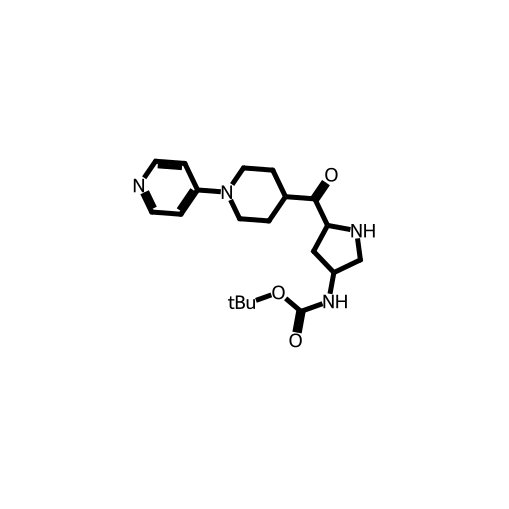 CC(C)(C)OC(=O)NC1CNC(C(=O)C2CCN(c3ccncc3)CC2)C1